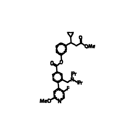 COC(=O)CC(c1cccc(OC(=O)c2ccc(-c3cc(OC)ncc3F)c(CN(C(C)C)C(C)C)c2)c1)C1CC1